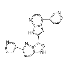 c1cncc(-c2ccc3[nH]nc(-c4nc5c(-c6cccnc6)ccnc5[nH]4)c3n2)c1